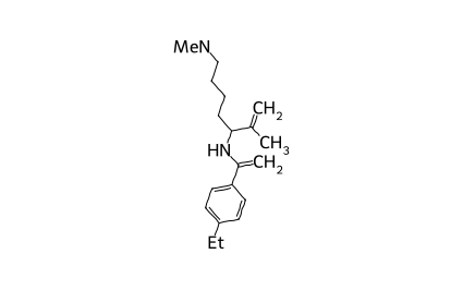 C=C(NC(CCCCNC)C(=C)C)c1ccc(CC)cc1